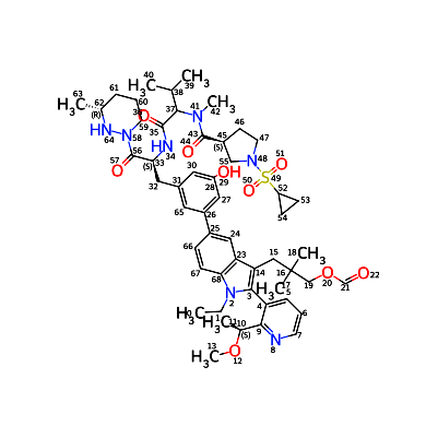 CCn1c(-c2cccnc2[C@H](C)OC)c(CC(C)(C)COC=O)c2cc(-c3cc(O)cc(C[C@H](NC(=O)C(C(C)C)N(C)C(=O)[C@H]4CCN(S(=O)(=O)C5CC5)C4)C(=O)N4CCC[C@@H](C)N4)c3)ccc21